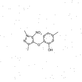 Cc1ccc(Oc2c(C)nn(C)c2[N+](=O)[O-])c(O)c1